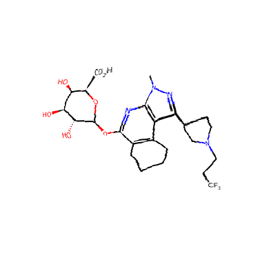 Cn1nc(C2CCN(CCC(F)(F)F)C2)c2c3c(c(O[C@@H]4O[C@H](C(=O)O)[C@H](O)[C@H](O)[C@H]4O)nc21)CCCC3